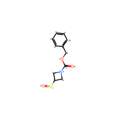 O=[S+]C1CN(C(=O)OCc2ccccc2)C1